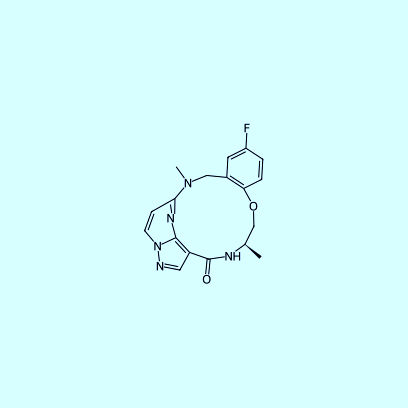 C[C@@H]1COc2ccc(F)cc2CN(C)c2ccn3ncc(c3n2)C(=O)N1